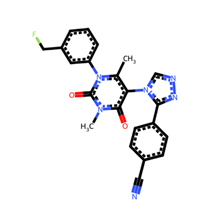 Cc1c(-n2cnnc2-c2ccc(C#N)cc2)c(=O)n(C)c(=O)n1-c1cccc(CF)c1